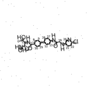 C[C@@H](O)[C@H](NC(=O)c1ccc(-c2ccc(NC(=O)CNc3ccc(Cl)nc3)cc2)cc1)C(=O)NO